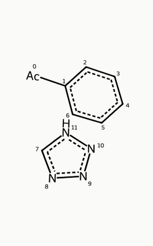 CC(=O)c1ccccc1.c1nnn[nH]1